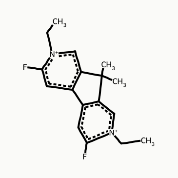 CC[n+]1cc2c(cc1F)-c1cc(F)[n+](CC)cc1C2(C)C